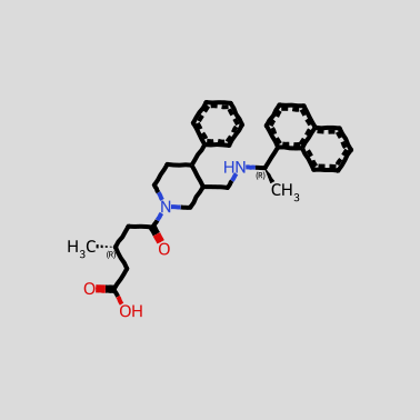 C[C@@H](CC(=O)O)CC(=O)N1CCC(c2ccccc2)C(CN[C@H](C)c2cccc3ccccc23)C1